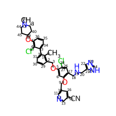 Cc1c(COc2cc(OCc3cncc(C#N)c3)c(CNCc3cnc[nH]3)cc2Cl)cccc1-c1cccc(OC2CCN(C)CC2)c1Cl